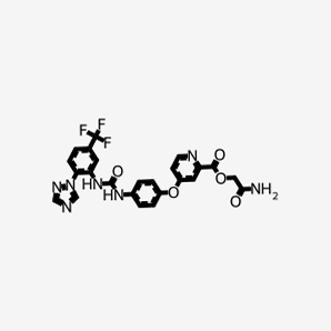 NC(=O)COC(=O)c1cc(Oc2ccc(NC(=O)Nc3cc(C(F)(F)F)ccc3-n3cncn3)cc2)ccn1